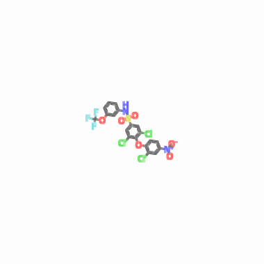 O=[N+]([O-])c1ccc(Oc2c(Cl)cc(S(=O)(=O)Nc3cccc(OC(F)(F)F)c3)cc2Cl)c(Cl)c1